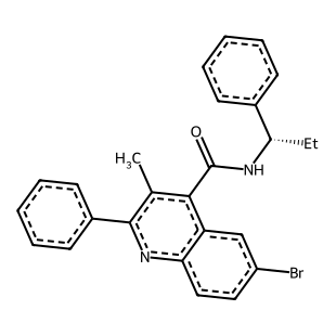 CC[C@H](NC(=O)c1c(C)c(-c2ccccc2)nc2ccc(Br)cc12)c1ccccc1